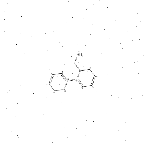 NCC1CC=CC=C1C1=CC=CCC1